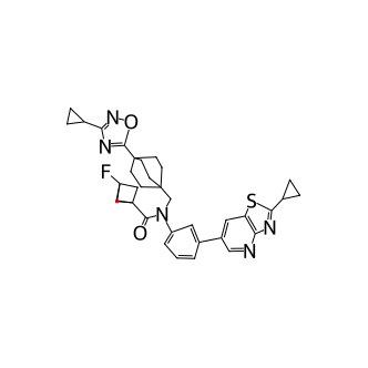 O=C(N(CC12CCC(c3nc(C4CC4)no3)(CC1)CC2)c1cccc(-c2cnc3nc(C4CC4)sc3c2)c1)C12CC(F)(C1)C2